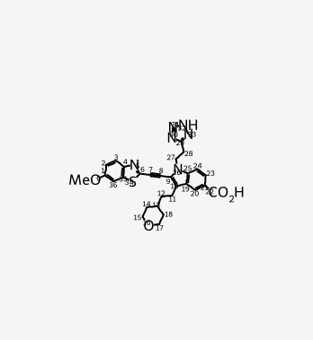 COc1ccc2nc(C#Cc3c(CCC4CCOCC4)c4cc(C(=O)O)ccc4n3CCc3nn[nH]n3)sc2c1